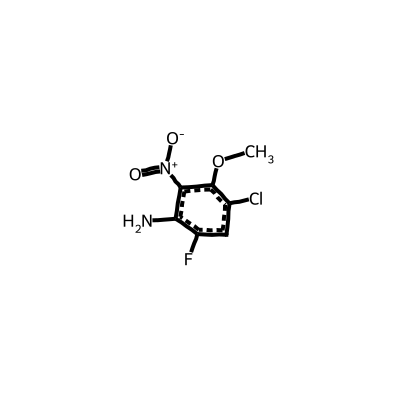 COc1c(Cl)cc(F)c(N)c1[N+](=O)[O-]